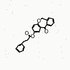 O=C(CCc1ccccc1)Oc1ccc2c(c1)C(=O)c1ccccc1CO2